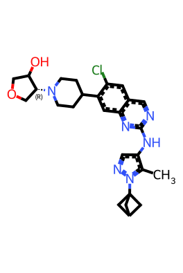 Cc1c(Nc2ncc3cc(Cl)c(C4CCN([C@@H]5COCC5O)CC4)cc3n2)cnn1C12CC(C1)C2